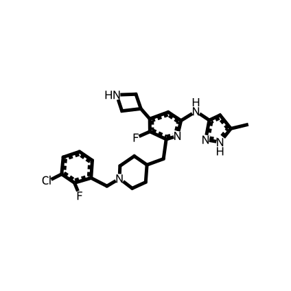 Cc1cc(Nc2cc(C3CNC3)c(F)c(CC3CCN(Cc4cccc(Cl)c4F)CC3)n2)n[nH]1